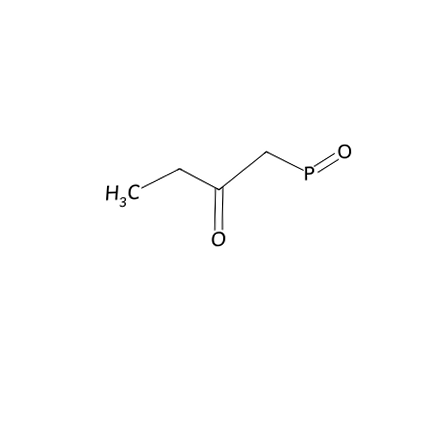 CCC(=O)CP=O